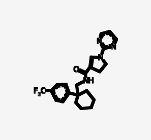 O=C(NCC1(c2ccc(C(F)(F)F)cc2)CCCCC1)C1=CN(c2ncccn2)CC1